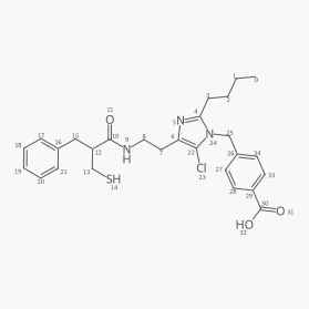 CCCCc1nc(CCNC(=O)C(CS)Cc2ccccc2)c(Cl)n1Cc1ccc(C(=O)O)cc1